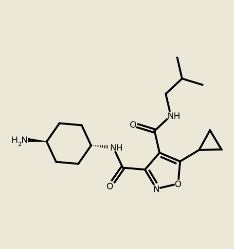 CC(C)CNC(=O)c1c(C(=O)N[C@H]2CC[C@H](N)CC2)noc1C1CC1